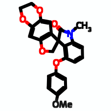 COc1ccc(Oc2cccc3c2C2(COc4cc5c(cc42)OCCO5)C(=O)N3C)cc1